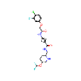 O=C(COc1ccc(Cl)c(F)c1)NC12CC(C(=O)NCC3CCC(OC(F)F)CN3)(C1)C2